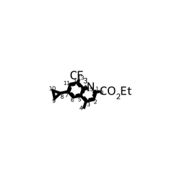 CCOC(=O)c1cc(C)c2cc(C3CC3)cc(C(F)(F)F)c2n1